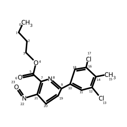 CCCCOC(=O)c1nc(-c2cc(Cl)c(C)c(Cl)c2)ccc1N=O